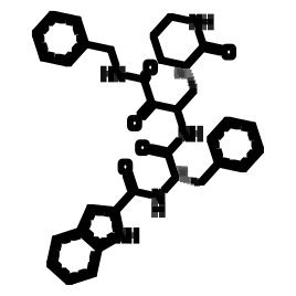 O=C(NCc1ccccc1)C(=O)C(C[C@@H]1CCCNC1=O)NC(=O)[C@H](Cc1ccccc1)NC(=O)c1cc2ccccc2[nH]1